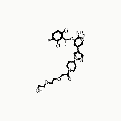 C[C@@H](Oc1cc(-c2cnn(C3CCN(C(=O)COCCOCCO)CC3)c2)cnc1N)c1c(Cl)ccc(F)c1Cl